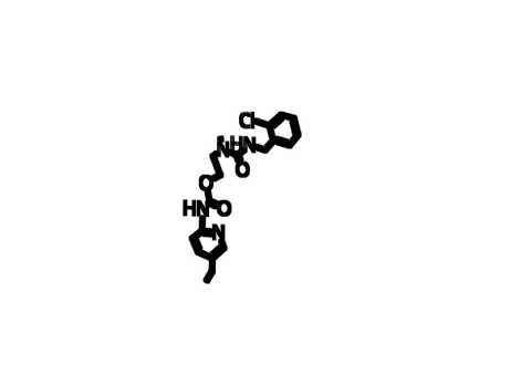 CCc1ccc(NC(=O)OCCN(C)C(=O)NCc2ccccc2Cl)nc1